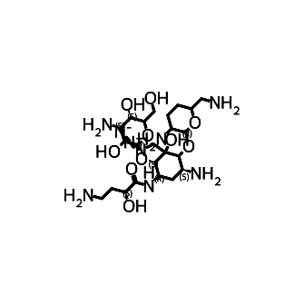 [N-]=[N+]=NCC1(O)C(O[C@H]2OC(CN)CCC2N)[C@@H](N)C[C@@H](NC(=O)[C@@H](O)CCN)[C@@H]1O[C@H]1OC(CO)[C@@H](O)[C@H](N)C1O